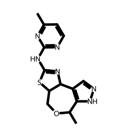 Cc1ccnc(NC2=NC3c4cn[nH]c4C(C)OCC3S2)n1